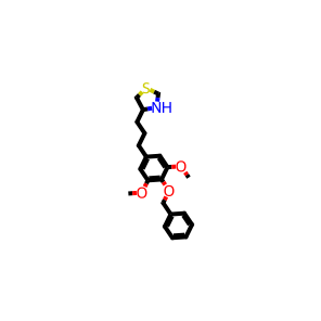 COc1cc(CCCC2CSCN2)cc(OC)c1OCc1ccccc1